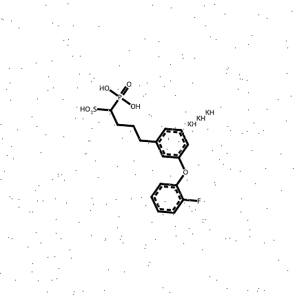 O=P(O)(O)C(CCCc1cccc(Oc2ccccc2F)c1)S(=O)(=O)O.[KH].[KH].[KH]